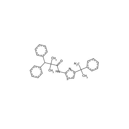 CC(C)(c1ccccc1)c1csc(NC(=O)C(C)(C)C(c2ccccc2)c2ccccc2)n1